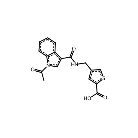 CC(=O)n1cc(C(=O)NCc2csc(C(=O)O)c2)c2ccccc21